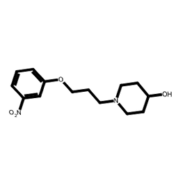 O=[N+]([O-])c1cccc(OCCCN2CCC(O)CC2)c1